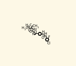 COC(=O)[C@@H](NC(=O)c1ncc(-c2ccc(NC(=O)Nc3ccc(Cl)cc3F)cc2)o1)C(C)C